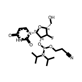 CC(C)N(C(C)C)P(OCCC#N)O[C@H]1C(F)[C@@H](CO)O[C@H]1n1ccc(=O)[nH]c1=O